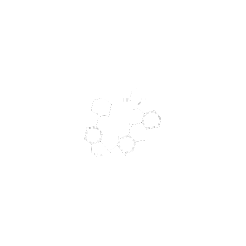 COc1ccc(N2CCOCC2)cc1Nc1ncc(Br)c(Nc2ccccc2S(=O)(=O)NC(C)C)n1